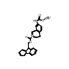 CC(C)(C)OC(=O)Nc1ccc2c(c1)CN(C(=O)OCC1c3ccccc3-c3ccccc31)CC2